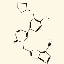 COc1ccc(-c2cnc(=O)n(Cc3nc4cccc(C#N)c4o3)c2)cc1OC1CCCC1